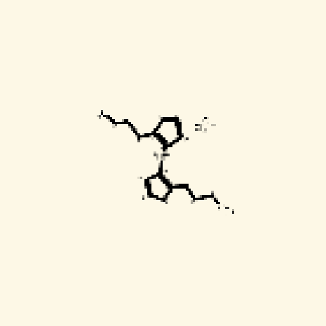 CCCCC1=[C]([Hf+2][C]2=C(CCCC)CC=C2)C=CC1.[Cl-].[Cl-]